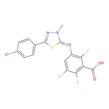 Cn1nc(-c2ccc(Cl)cc2)sc1=Nc1cc(F)c(F)c(C(=O)O)c1F